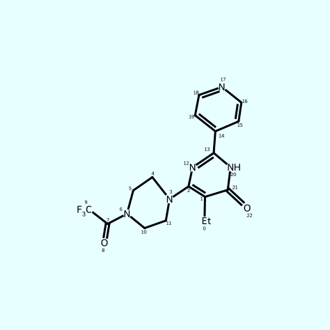 CCc1c(N2CCN(C(=O)C(F)(F)F)CC2)nc(-c2ccncc2)[nH]c1=O